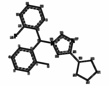 Cc1ccccc1C(c1ccccc1F)n1cnc(C2CCCC2)c1